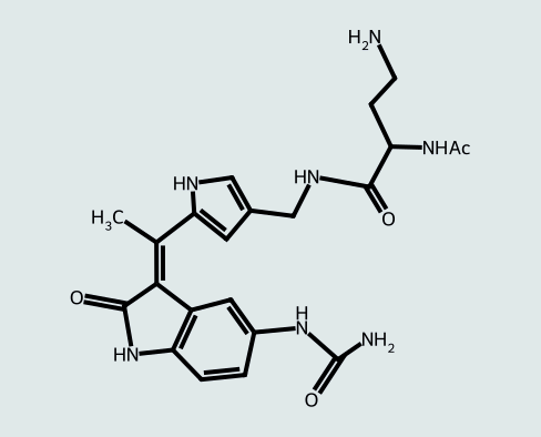 CC(=O)NC(CCN)C(=O)NCc1c[nH]c(C(C)=C2C(=O)Nc3ccc(NC(N)=O)cc32)c1